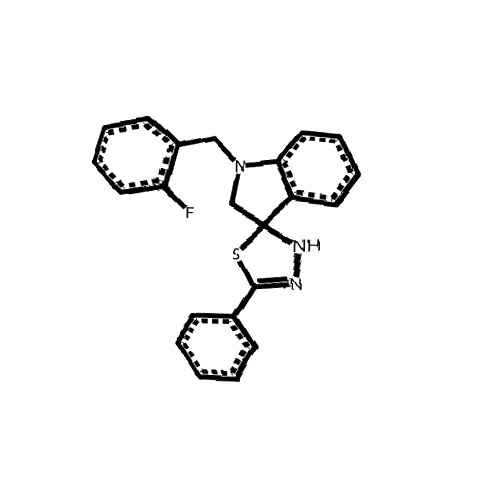 Fc1ccccc1CN1CC2(NN=C(c3ccccc3)S2)c2ccccc21